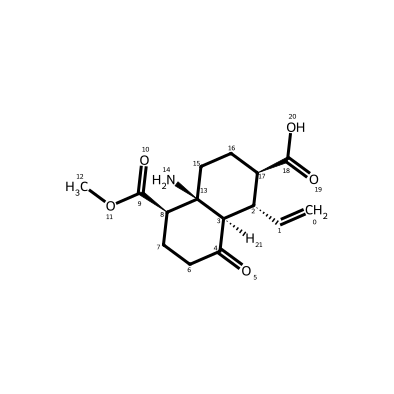 C=C[C@@H]1[C@H]2C(=O)CC[C@@H](C(=O)OC)[C@]2(N)CC[C@H]1C(=O)O